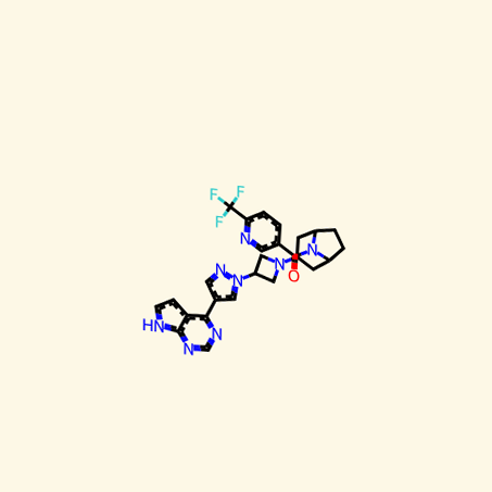 O=C(c1ccc(C(F)(F)F)nc1)N1C2CCC1CC(N1CC(n3cc(-c4ncnc5[nH]ccc45)cn3)C1)C2